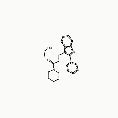 CCO.O=C(C=Cc1c(-c2ccccc2)nn2ccccc12)N1CCCCC1